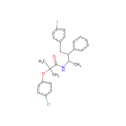 CC(NC(=O)C(C)(C)Oc1ccc(Cl)cc1)C(Cc1ccc(I)cc1)c1ccccc1